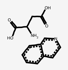 NC(CC(=O)O)C(=O)O.c1ccc2cnccc2c1